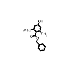 COc1cc(O)cc(C)c1C(=O)OCc1ccccc1